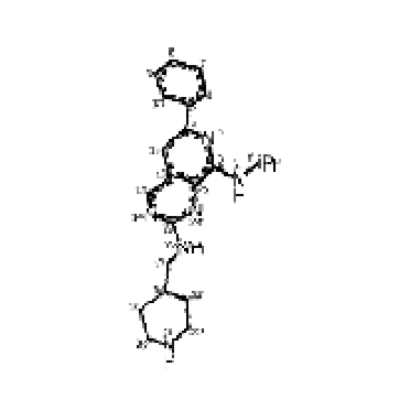 CC(C)Nc1nc(-c2ccccc2)cc2cnc(NCC3CCNCC3)nc12